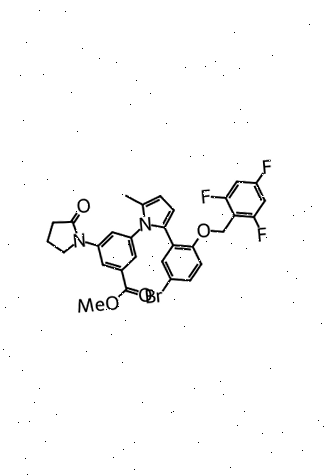 COC(=O)c1cc(N2CCCC2=O)cc(-n2c(C)ccc2-c2cc(Br)ccc2OCc2c(F)cc(F)cc2F)c1